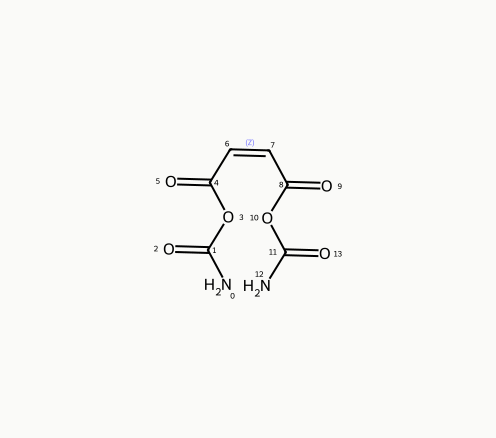 NC(=O)OC(=O)/C=C\C(=O)OC(N)=O